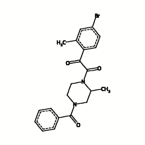 Cc1cc(Br)ccc1C(=O)C(=O)N1CCN(C(=O)c2ccccc2)CC1C